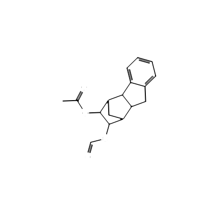 CC(=O)OC1C2CC(C3Cc4ccccc4C32)C1OC=O